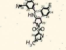 Cn1cnc(S(=O)(=O)N2C[C@@H](NCc3cccc(C#N)c3)[C@H](c3ccc(F)cc3)C2)c1